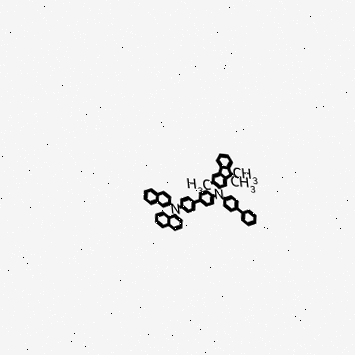 Cc1cc2c(cc1N(c1ccc(-c3ccccc3)cc1)c1ccc(-c3ccc(N(C4=CC=CC5C=CC=CC45)c4ccc5ccccc5c4)cc3)cc1)C(C)(C)c1ccccc1-2